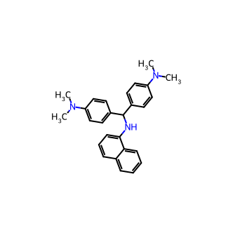 CN(C)c1ccc(C(Nc2cccc3ccccc23)c2ccc(N(C)C)cc2)cc1